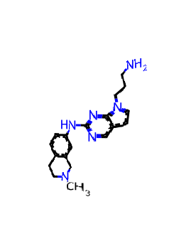 CN1CCc2ccc(Nc3ncc4ccn(CCCN)c4n3)cc2C1